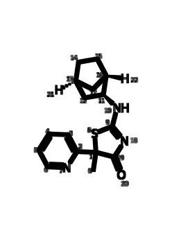 CC1(c2ccccn2)SC(N[C@H]2C[C@H]3CC[C@H]2C3)=NC1=O